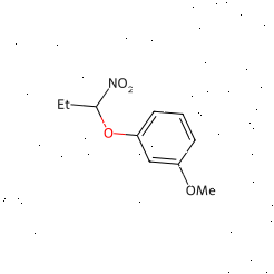 CCC(Oc1cccc(OC)c1)[N+](=O)[O-]